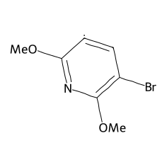 COc1[c]cc(Br)c(OC)n1